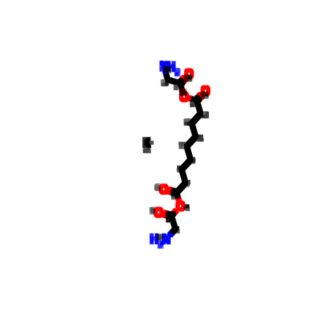 NCC(=O)OC(=O)CCCCCCCC(=O)OC(=O)CN.[K]